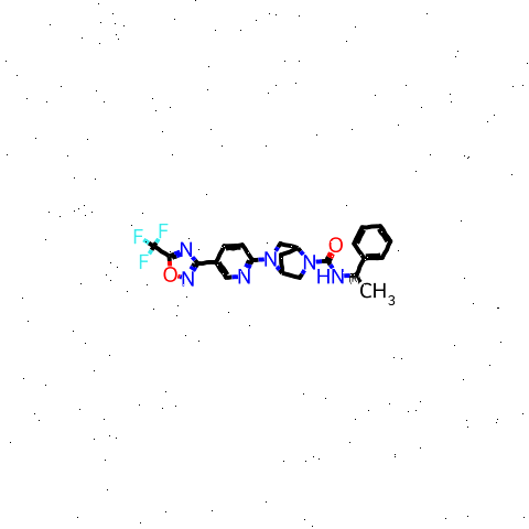 C[C@@H](NC(=O)N1CC2CC1CN2c1ccc(-c2noc(C(F)(F)F)n2)cn1)c1ccccc1